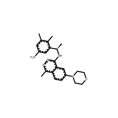 Cc1cc(N)cc([C@@H](C)Nc2nnc(C)c3ccc(N4CCOCC4)cc23)c1C